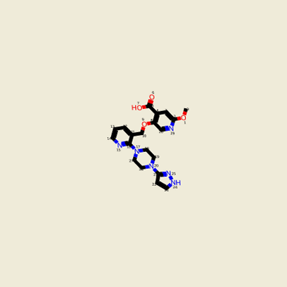 COc1cc(C(=O)O)c(OCc2cccnc2N2CCN(c3cc[nH]n3)CC2)cn1